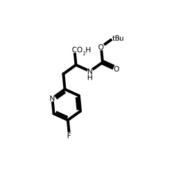 CC(C)(C)OC(=O)NC(Cc1ccc(F)cn1)C(=O)O